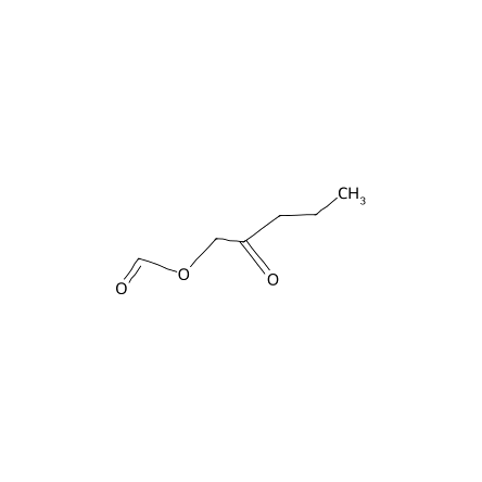 CCCC(=O)COC=O